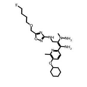 Cc1nc(/C(N)=C(\CNc2noc(COCCCCF)n2)N(C)N)ccc1OC1CCCCC1